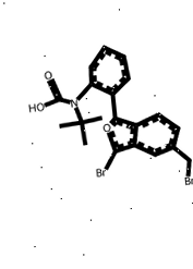 CC(C)(C)N(C(=O)O)c1ccccc1-c1oc(Br)c2cc(CBr)ccc12